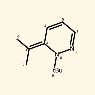 CC(C)=C1C=CC=NN1C(C)(C)C